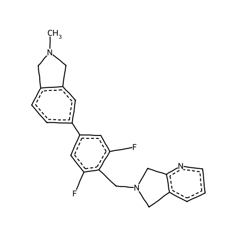 CN1Cc2ccc(-c3cc(F)c(CN4Cc5cccnc5C4)c(F)c3)cc2C1